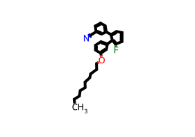 CCCCCCCCCCOc1cccc(-c2c(F)cccc2-c2cccc(C#N)c2)c1